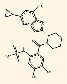 Cc1cc(NS(C)(=O)=O)c(C(=O)N2CCCC[C@H]2c2cc3nc(C4CC4)cc(C)n3n2)cc1C